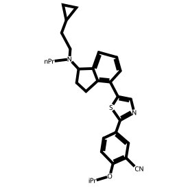 CCCN(CCC1CC1)C1CCc2c(-c3cnc(-c4ccc(OC(C)C)c(C#N)c4)s3)cccc21